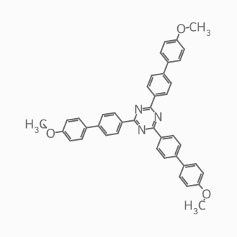 COc1ccc(-c2ccc(-c3nc(-c4ccc(-c5ccc(OC)cc5)cc4)nc(-c4ccc(-c5ccc(OC)cc5)cc4)n3)cc2)cc1